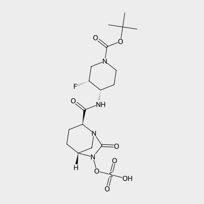 CC(C)(C)OC(=O)N1CC[C@H](NC(=O)[C@@H]2CC[C@@H]3CN2C(=O)N3OS(=O)(=O)O)[C@H](F)C1